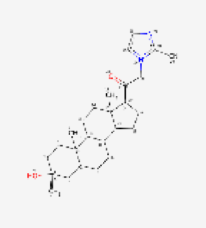 CC12CC[C@@](C)(O)CC1CCC1C2CCC2(C)C1CC[C@@H]2C(=O)Cn1ccnc1C#N